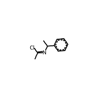 CC(Cl)=NC(C)c1ccccc1